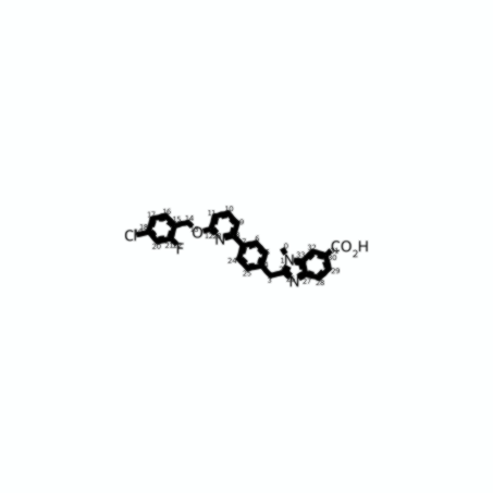 Cn1c(Cc2ccc(-c3cccc(OCc4ccc(Cl)cc4F)n3)cc2)nc2ccc(C(=O)O)cc21